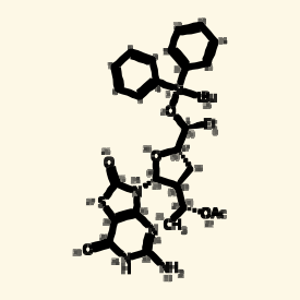 CC[C@H](O[Si](c1ccccc1)(c1ccccc1)C(C)(C)C)[C@@H]1C[C@@H]([C@@H](C)OC(C)=O)[C@H](n2c(=O)sc3c(=O)[nH]c(N)nc32)O1